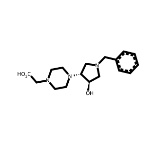 O=C(O)CN1CCN([C@@H]2CN(Cc3ccccc3)C[C@H]2O)CC1